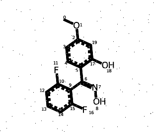 COc1ccc(C(=NO)c2c(F)cccc2F)c(O)c1